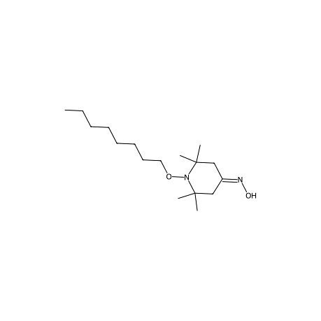 CCCCCCCCON1C(C)(C)CC(=NO)CC1(C)C